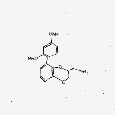 COc1ccc(-c2cccc3c2O[C@@H](CN)CO3)c(OC)c1